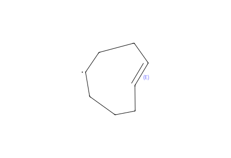 [CH]1CC/C=C/CCC1